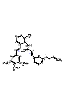 C=CCOc1cccc(/C=C/C(=O)Nc2c(O)cccc2/C=C/c2cc(OC)c(OC)c(OC)c2)c1